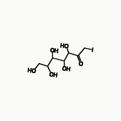 O=C(CI)C(O)C(O)C(O)C(O)CO